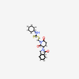 O=C1CCC(N2Cc3ccccc3C2=O)C(=O)N1CSC(=S)NC1CCCCC1